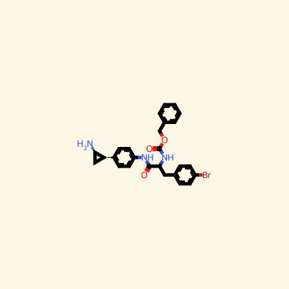 N[C@@H]1C[C@H]1c1ccc(NC(=O)C(Cc2ccc(Br)cc2)NC(=O)OCc2ccccc2)cc1